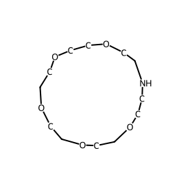 C1COCCOCCOCCOCCOCCN1